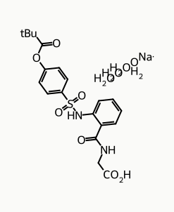 CC(C)(C)C(=O)Oc1ccc(S(=O)(=O)Nc2ccccc2C(=O)NCC(=O)O)cc1.O.O.O.O.[Na]